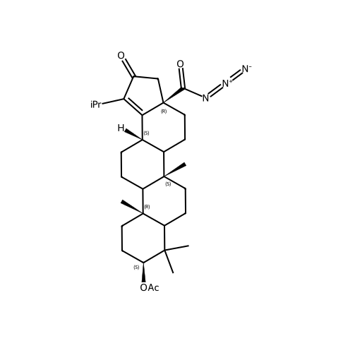 CC(=O)O[C@H]1CC[C@@]2(C)C(CC[C@@]3(C)C4CC[C@@]5(C(=O)N=[N+]=[N-])CC(=O)C(C(C)C)=C5[C@H]4CCC32)C1(C)C